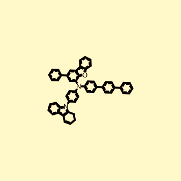 C1=Cc2c(n(-c3ccc(N(c4ccc(-c5ccc(-c6ccccc6)cc5)cc4)c4cc(-c5ccccc5)cc5c4oc4ccccc45)cc3)c3ccccc23)CC1